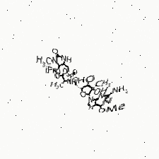 COc1nc(N)nc2c1ncn2[C@@H]1O[C@H](COP(=O)(N[C@@H](C)C(=O)OC(C)C)SCC2NC(=O)N(C)C2=O)[C@@H](O)[C@@]1(C)O